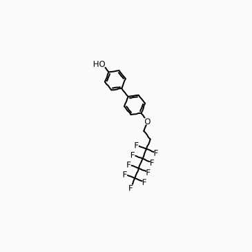 Oc1ccc(-c2ccc(OCCC(F)(F)C(F)(F)C(F)(F)C(F)(F)F)cc2)cc1